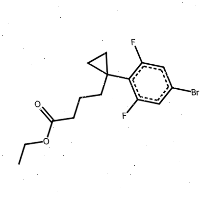 CCOC(=O)CCCC1(c2c(F)cc(Br)cc2F)CC1